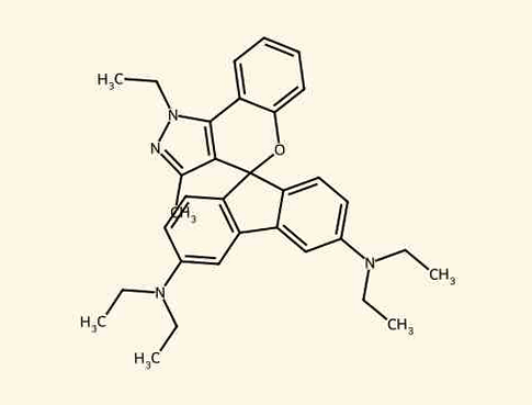 CCN(CC)c1ccc2c(c1)-c1cc(N(CC)CC)ccc1C21Oc2ccccc2-c2c1c(C)nn2CC